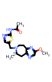 COc1cnc2c(n1)CCN(Cc1cnc(NC(C)=O)s1)[C@@H](C)C2